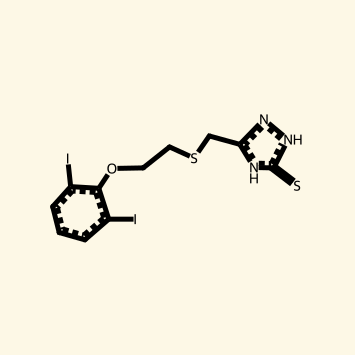 S=c1[nH]nc(CSCCOc2c(I)cccc2I)[nH]1